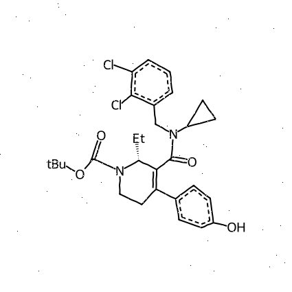 CC[C@@H]1C(C(=O)N(Cc2cccc(Cl)c2Cl)C2CC2)=C(c2ccc(O)cc2)CCN1C(=O)OC(C)(C)C